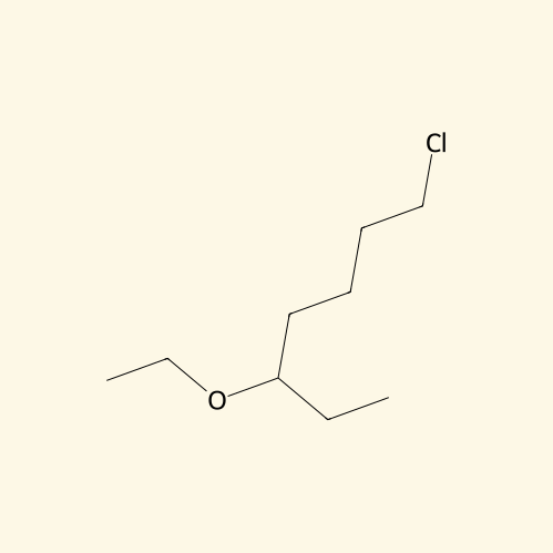 CCOC(CC)CCCCCl